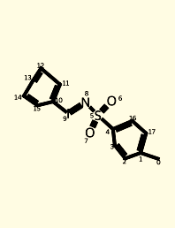 Cc1ccc(S(=O)(=O)N=Ic2ccccc2)cc1